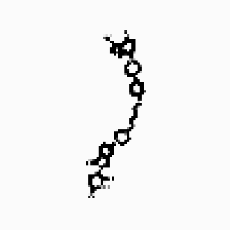 N#Cc1c[nH]c2c(N3CCC(c4ccc(OCCCCN5CCN(c6ccc7c(c6)CN(C6CCC(=O)NC6=O)C7=O)CC5)cc4)CC3)ccc(F)c12